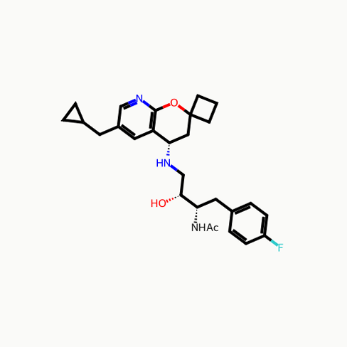 CC(=O)N[C@@H](Cc1ccc(F)cc1)[C@H](O)CN[C@H]1CC2(CCC2)Oc2ncc(CC3CC3)cc21